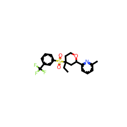 CCC1(S(=O)(=O)c2cccc(C(F)(F)F)c2)CCOC(c2cccc(C)n2)C1